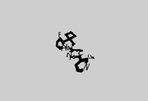 COc1ncccc1-c1ccc(NCC2(c3ncccc3F)CCC2)nn1